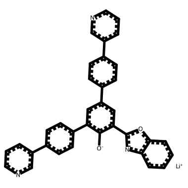 [Li+].[O-]c1c(-c2ccc(-c3cccnc3)cc2)cc(-c2ccc(-c3cccnc3)cc2)cc1-c1nc2ccccc2o1